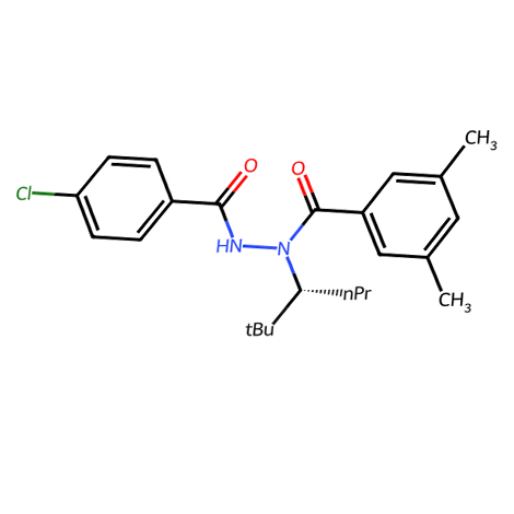 CCC[C@@H](N(NC(=O)c1ccc(Cl)cc1)C(=O)c1cc(C)cc(C)c1)C(C)(C)C